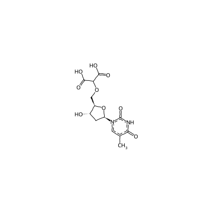 Cc1cn([C@H]2C[C@H](O)[C@@H](COC(C(=O)O)C(=O)O)O2)c(=O)[nH]c1=O